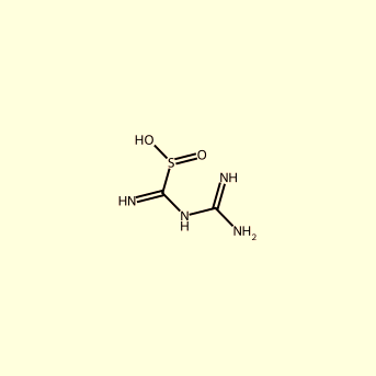 N=C(N)NC(=N)S(=O)O